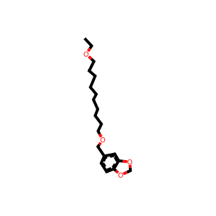 CCOCCCCCCCCCCOCc1ccc2c(c1)OCO2